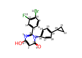 O=c1cc(O)nc(-c2ccc(Br)c(F)c2)n1-c1ccc(C2CC2)cc1